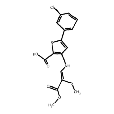 COC(=O)C(=CNc1cc(-c2cccc(Cl)c2)sc1C(=O)O)SC